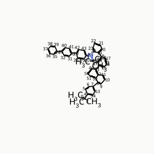 CC(C)(C)c1ccc(-c2cccc3c(-c4cccc(-c5ccccc5N(c5ccc(-c6ccc(-c7ccccc7)cc6)cc5)C(C)(C)C)c4)cccc23)cc1